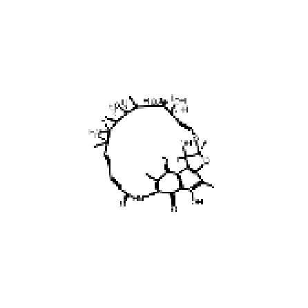 CC(=O)O[C@H]1[C@H](C)[C@H](O)[C@H](C)[C@@H](O)[C@@H](C)/C=C/C=C\C(=O)NC2=C(C)C(=O)c3c(c(O)c(C)c4c3[C@H](O)[C@](C)(O/C=C/[C@H](O)[C@H]1C)O4)C2=O